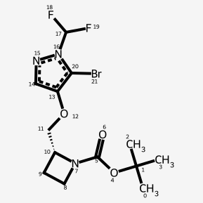 CC(C)(C)OC(=O)N1CC[C@@H]1COc1cnn(C(F)F)c1Br